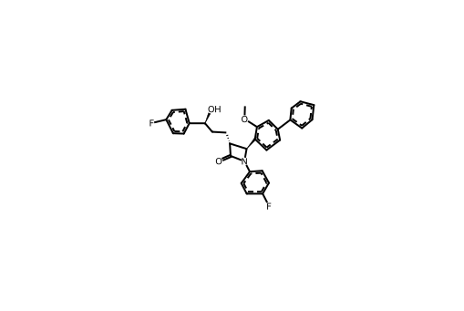 COc1cc(-c2ccccc2)ccc1[C@@H]1[C@@H](CC[C@H](O)c2ccc(F)cc2)C(=O)N1c1ccc(F)cc1